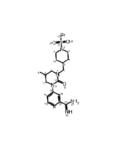 CC1CN(CC2CCN(S(=O)(=O)C(C)C)CC2)C(=O)N(c2cccc(C(=N)N)c2)C1